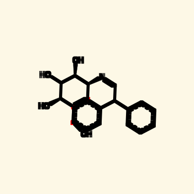 OCC1=C[C@H](/N=C\C(c2ccccc2)c2ccccc2)[C@H](O)C(O)[C@@H]1O